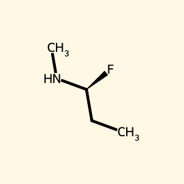 CC[C@H](F)NC